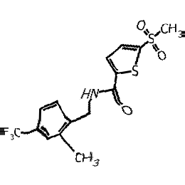 Cc1cc(C(F)(F)F)ccc1CNC(=O)c1ccc(S(C)(=O)=O)s1